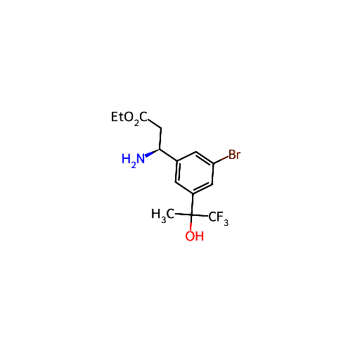 CCOC(=O)C[C@H](N)c1cc(Br)cc(C(C)(O)C(F)(F)F)c1